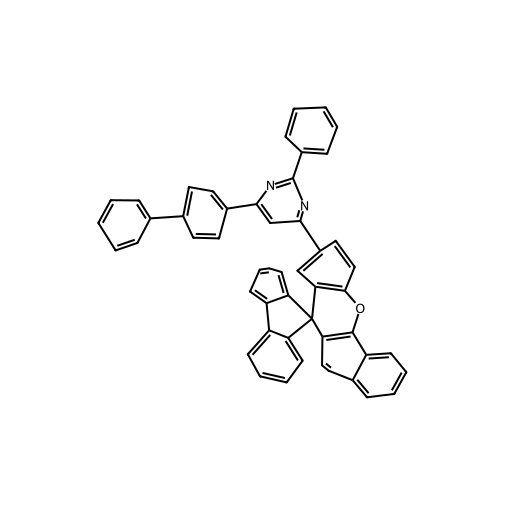 c1ccc(-c2ccc(-c3cc(-c4ccc5c(c4)C4(c6ccccc6-c6ccccc64)c4ccc6ccccc6c4O5)nc(-c4ccccc4)n3)cc2)cc1